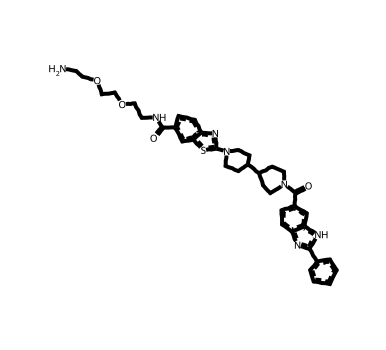 NCCOCCOCCNC(=O)c1ccc2nc(N3CCC(C4CCN(C(=O)c5ccc6nc(-c7ccccc7)[nH]c6c5)CC4)CC3)sc2c1